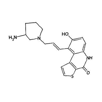 NC1CCCN(CC=Cc2c(O)ccc3[nH]c(=O)c4sccc4c23)C1